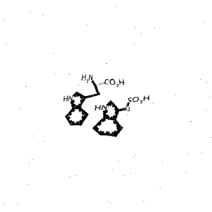 N[C@@H](Cc1c[nH]c2ccccc12)C(=O)O.O=S(=O)(O)Oc1c[nH]c2ccccc12